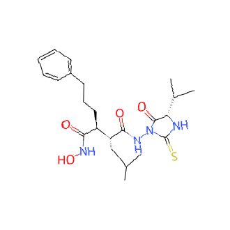 CC(C)C[C@@H](C(=O)NN1C(=O)[C@H](C(C)C)NC1=S)[C@H](CCCc1ccccc1)C(=O)NO